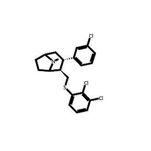 CN1C2CCC1[C@H](CSc1cccc(Cl)c1Cl)[C@@H](c1cccc(Cl)c1)C2